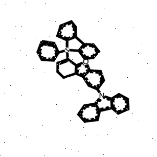 c1cccc(S2(C3=CCCc4c3oc3ccc(-n5c6ccccc6c6ccccc65)cc43)c3ccccc3-c3ccccc32)c#1